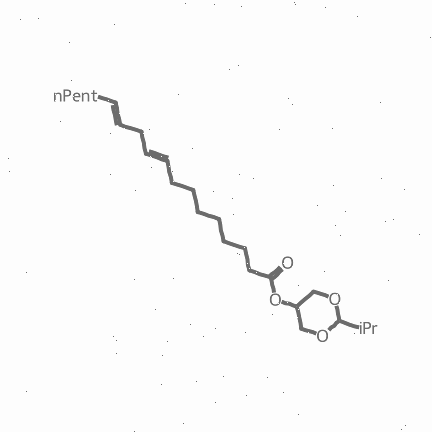 CCCCC/C=C/C/C=C/CCCCCCCC(=O)OC1COC(C(C)C)OC1